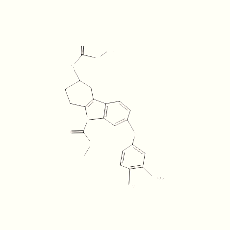 COc1ccc(Nc2ccc3c4c(n(C(=O)OC(C)(C)C)c3c2)CCC(NC(=O)OC(C)(C)C)C4)cc1OC